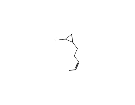 CC/C=C\CCC1CC1C#N